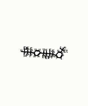 CCC(C)(C)c1cccc(C(F)(F)C(F)(F)C(C)(CC)C(C)(CC)c2ccc(C(F)(F)C(F)(F)C(C)(C)CC)cc2)c1